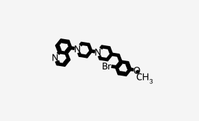 COc1ccc(Br)c(CC2CCN(C3CCN(c4cccc5ncccc45)CC3)CC2)c1